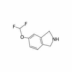 FC(F)Oc1ccc2c(c1)CNC2